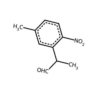 Cc1ccc([N+](=O)[O-])c(C(C)C=O)c1